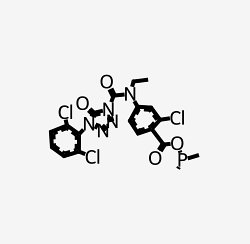 CCN(C(=O)n1nnn(-c2c(Cl)cccc2Cl)c1=O)c1ccc(C(=O)OP(C)C)c(Cl)c1